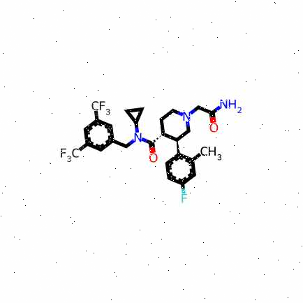 Cc1cc(F)ccc1[C@@H]1CN(CC(N)=O)CC[C@H]1C(=O)N(Cc1cc(C(F)(F)F)cc(C(F)(F)F)c1)C1CC1